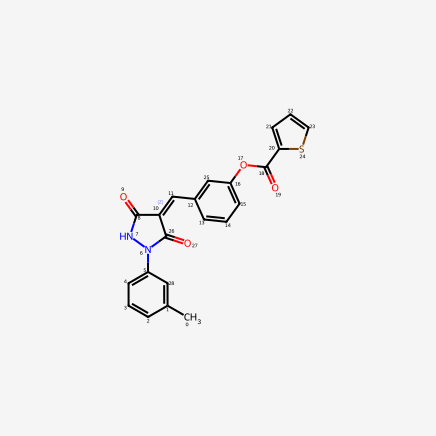 Cc1cccc(N2NC(=O)/C(=C/c3cccc(OC(=O)c4cccs4)c3)C2=O)c1